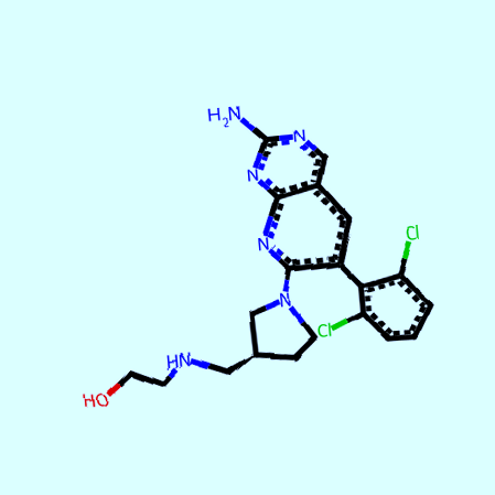 Nc1ncc2cc(-c3c(Cl)cccc3Cl)c(N3CC[C@@H](CNCCO)C3)nc2n1